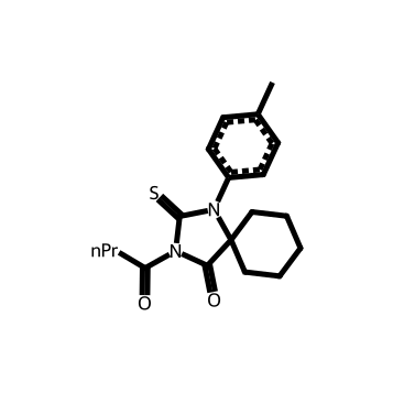 CCCC(=O)N1C(=O)C2(CCCCC2)N(c2ccc(C)cc2)C1=S